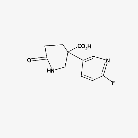 O=C1CCC(C(=O)O)(c2ccc(F)nc2)CN1